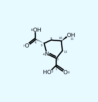 O=C(O)C1=N[C@H](C(=O)O)C[C@@H](O)C1